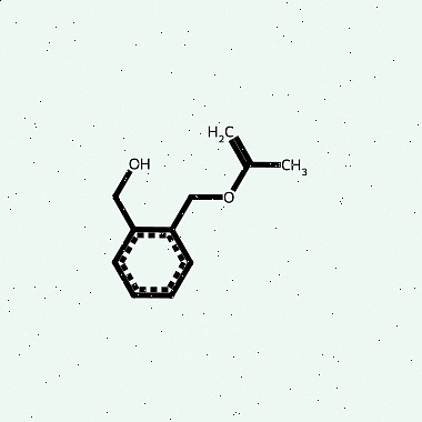 C=C(C)OCc1ccccc1CO